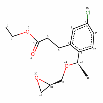 CCOC(=O)CCc1cc(Cl)ccc1[C@@H](C)OC[C@H]1CO1